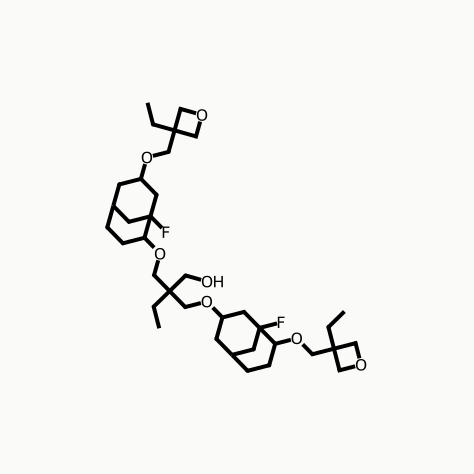 CCC1(COC2CC3CCC(OCC(CC)(CO)COC4CC5CCC(OCC6(CC)COC6)C(F)(C5)C4)C(F)(C3)C2)COC1